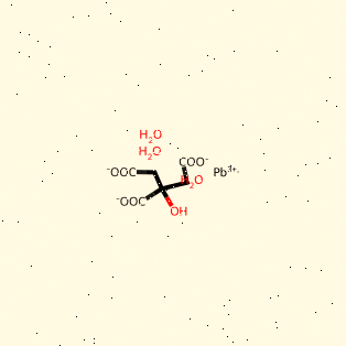 O.O.O.O=C([O-])CC(O)(CC(=O)[O-])C(=O)[O-].[Pb+3]